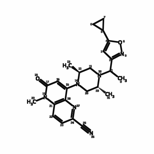 CC(c1cc(C2CC2)on1)N1C[C@H](C)N(c2cc(=O)n(C)c3ccc(C#N)nc23)C[C@H]1C